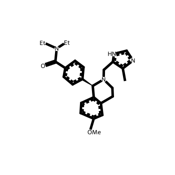 CCN(CC)C(=O)c1ccc([C@@H]2c3ccc(OC)cc3CCN2Cc2[nH]cnc2C)cc1